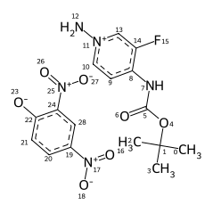 CC(C)(C)OC(=O)Nc1cc[n+](N)cc1F.O=[N+]([O-])c1ccc([O-])c([N+](=O)[O-])c1